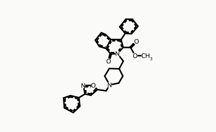 COC(=O)c1c(-c2ccccc2)c2ccccc2c(=O)n1CC1CCN(Cc2cc(-c3ccccc3)no2)CC1